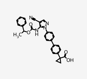 CC(OC(=O)Nc1c(C#N)cnn1-c1ccc(-c2ccc(C3(C(=O)O)CC3)cc2)cc1)c1ccccc1